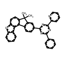 CC1(C)c2cc(-c3nc(-c4ccccc4)nc(-c4ccccn4)n3)ccc2-c2c1ccc1oc3ccccc3c21